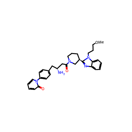 COCCCn1c([C@@H]2CCCN(C(=O)C[C@H](N)Cc3ccc(-n4ccccc4=O)cc3)C2)nc2ccccc21